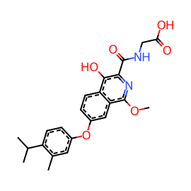 COc1nc(C(=O)NCC(=O)O)c(O)c2ccc(Oc3ccc(C(C)C)c(C)c3)cc12